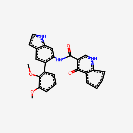 COc1cccc(-c2cc3cc[nH]c3cc2NC(=O)c2c[nH]c3ccccc3c2=O)c1OC